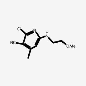 COCCNc1cc(C)c(C#N)c(Cl)n1